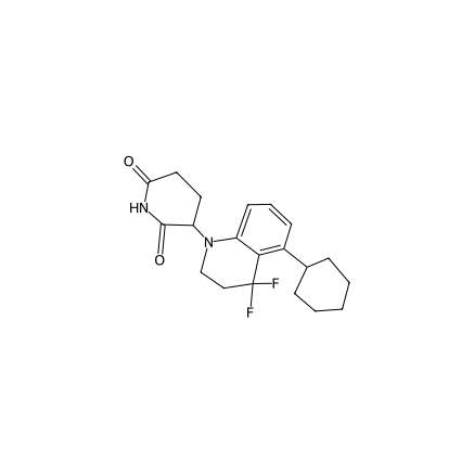 O=C1CCC(N2CCC(F)(F)c3c(C4CCCCC4)cccc32)C(=O)N1